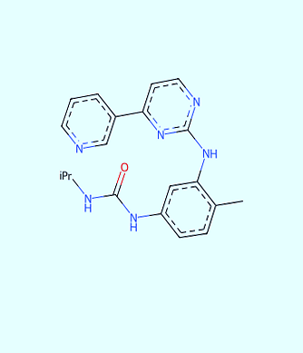 Cc1ccc(NC(=O)NC(C)C)cc1Nc1nccc(-c2cccnc2)n1